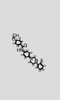 COc1ccc(C(=O)Nc2ccc(N3CCN(c4ccccc4F)CC3)cc2)cc1